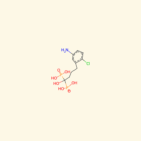 Nc1ccc(Cl)c(CCCC(O)(P(=O)(O)O)P(=O)(O)O)c1